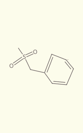 CS(=O)(=O)Cc1c[c]ccc1